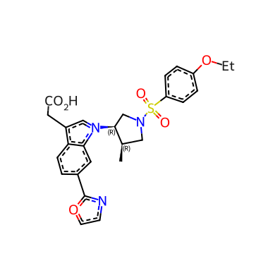 CCOc1ccc(S(=O)(=O)N2C[C@@H](C)[C@@H](n3cc(CC(=O)O)c4ccc(-c5ncco5)cc43)C2)cc1